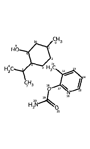 CC1CCC(C(C)C)C(O)C1.Cc1cccnc1OC(N)=O